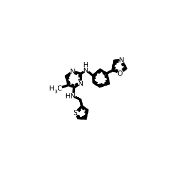 Cc1cnc(Nc2cccc(-c3cnco3)c2)nc1NCc1cccs1